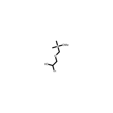 CCC(O)COC[Si](C)(C)OC